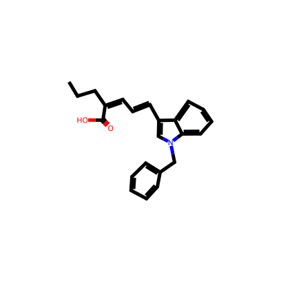 CCCC(=CC=Cc1cn(Cc2ccccc2)c2ccccc12)C(=O)O